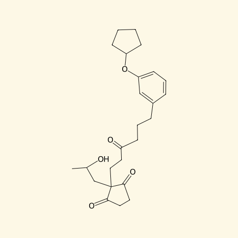 CC(O)CC1(CCC(=O)CCCc2cccc(OC3CCCC3)c2)C(=O)CCC1=O